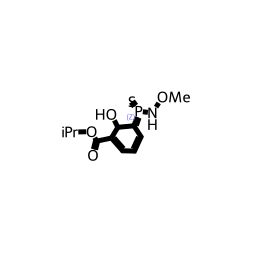 CON/P(=S)=C1\C=CC=C(C(=O)OC(C)C)C1O